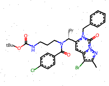 Cc1nn2c(=O)n(Cc3ccccc3)c([C@@H](C(C)C)N(CCCNC(=O)OC(C)(C)C)C(=O)c3ccc(Cl)cc3)cc2c1Br